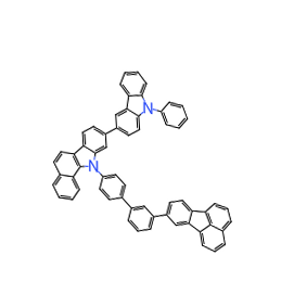 c1ccc(-n2c3ccccc3c3cc(-c4ccc5c6ccc7ccccc7c6n(-c6ccc(-c7cccc(-c8ccc9c(c8)-c8cccc%10cccc-9c8%10)c7)cc6)c5c4)ccc32)cc1